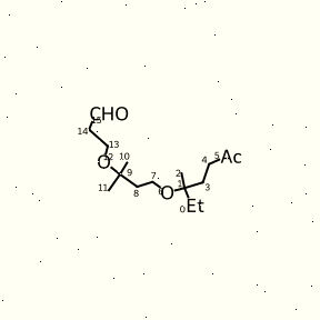 CCC(C)(CCC(C)=O)OCCC(C)(C)OCCC=O